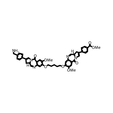 COC(=O)c1ccc(C2=CN3C(=O)c4cc(OC)c(OCCCCCOc5cc6c(cc5OC)C(=O)N5C=C(c7ccc(CN)cc7)C[C@H]5C=N6)cc4N=C[C@@H]3C2)cc1